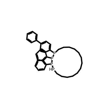 c1ccc(-c2ccc(P3CCCCCCCCCCCCCPP(c4ccccc4)P3c3ccccc3)cc2)cc1